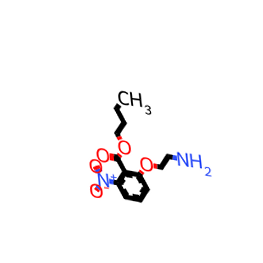 CCCCOC(=O)c1c(OCCN)cccc1[N+](=O)[O-]